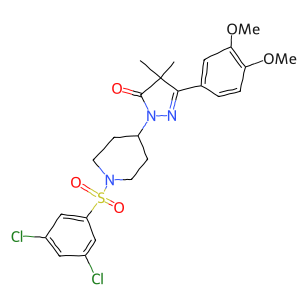 COc1ccc(C2=NN(C3CCN(S(=O)(=O)c4cc(Cl)cc(Cl)c4)CC3)C(=O)C2(C)C)cc1OC